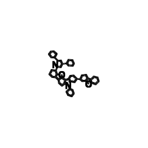 c1ccc(-c2cc(-c3ccccc3)nc(-c3cccc4c3oc3c4ccc4c3c3ccc(-c5ccc6c(c5)oc5ccccc56)cc3n4-c3ccccc3)c2)cc1